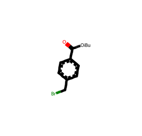 CC(C)COC(=O)c1ccc(CBr)cc1